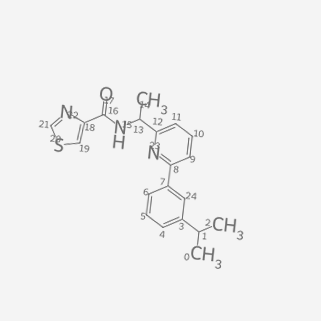 CC(C)c1cccc(-c2cccc(C(C)NC(=O)c3cscn3)n2)c1